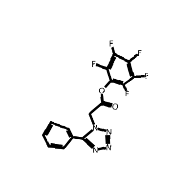 O=C(Cn1nnnc1-c1ccccc1)Oc1c(F)c(F)c(F)c(F)c1F